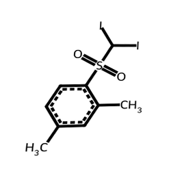 Cc1ccc(S(=O)(=O)C(I)I)c(C)c1